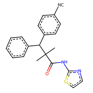 [C-]#[N+]c1ccc(C(c2ccccc2)C(C)(C)C(=O)Nc2nccs2)cc1